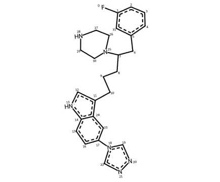 Fc1cccc(CC(CCCc2c[nH]c3ccc(-n4cnnc4)cc23)N2CCNCC2)c1